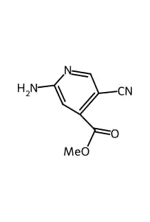 COC(=O)c1cc(N)ncc1C#N